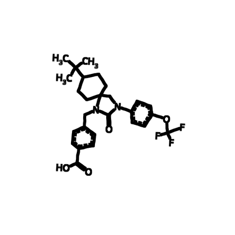 CC(C)(C)C1CCC2(CC1)CN(c1ccc(OC(F)(F)F)cc1)C(=O)N2Cc1ccc(C(=O)O)cc1